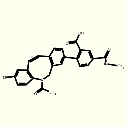 CNC(=O)c1ccc(-c2ccc3c(c2)CN(C(C)=O)c2ccc(Cl)cc2/C=C\3)c(C(=O)O)c1